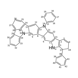 C1=Cc2c([nH]c3cc4c5cc6c(cc5n(-c5ccccc5)c4cc23)c2cccc3c4ccccc4n6c32)C(c2ccccc2)C1